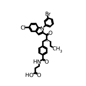 CCC[C@@H](Cc1ccc(C(=O)NCCC(=O)O)cc1)C(=O)c1cc2cc(Cl)ccc2n1-c1cccc(Br)c1